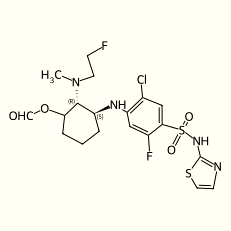 CN(CCF)[C@H]1C(OC=O)CCC[C@@H]1Nc1cc(F)c(S(=O)(=O)Nc2nccs2)cc1Cl